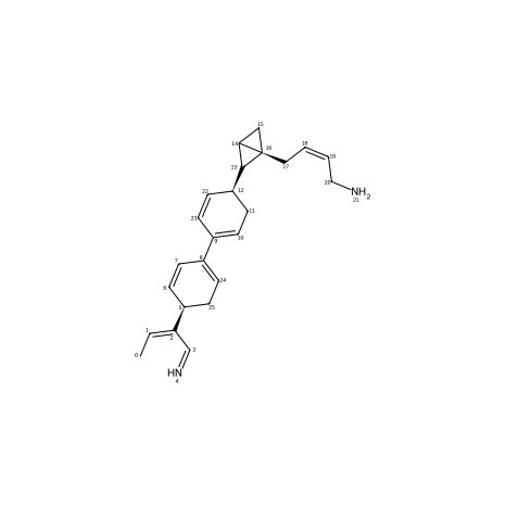 C/C=C(\C=N)[C@H]1C=CC(C2=CC[C@H](C3C4C[C@@]43C/C=C\CN)C=C2)=CC1